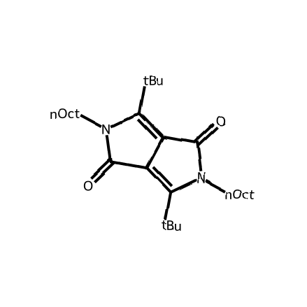 CCCCCCCCN1C(=O)C2=C(C(C)(C)C)N(CCCCCCCC)C(=O)C2=C1C(C)(C)C